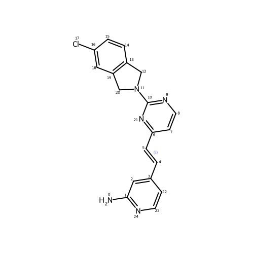 Nc1cc(/C=C/c2ccnc(N3Cc4ccc(Cl)cc4C3)n2)ccn1